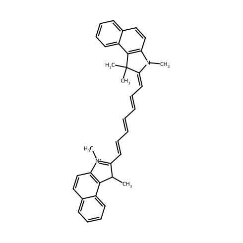 CC1C(/C=C/C=C/C=C/C=C2/N(C)c3ccc4ccccc4c3C2(C)C)=[N+](C)c2ccc3ccccc3c21